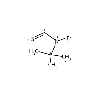 CC(C)N(C=S)C(C)(C)C